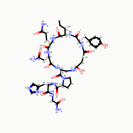 CC[C@H](C)[C@@H]1NC(=O)[C@H](Cc2ccc(O)cc2)NC(=O)CCC(O)NC[C@@H](C(=O)N2CCC[C@H]2C(=O)N[C@@H](Cc2cnc[nH]2)C(=O)NCC(N)=O)NC(=O)[C@H](CC(N)=O)NC(=O)[C@H](CCC(N)=O)NC1=O